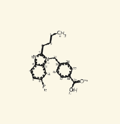 CCCCc1nc2ccc(F)cc2n1Cc1ccc(C(=O)O)cc1